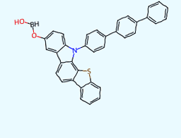 OBOc1ccc2c(c1)c1ccc3c4ccccc4sc3c1n2-c1ccc(-c2ccc(-c3ccccc3)cc2)cc1